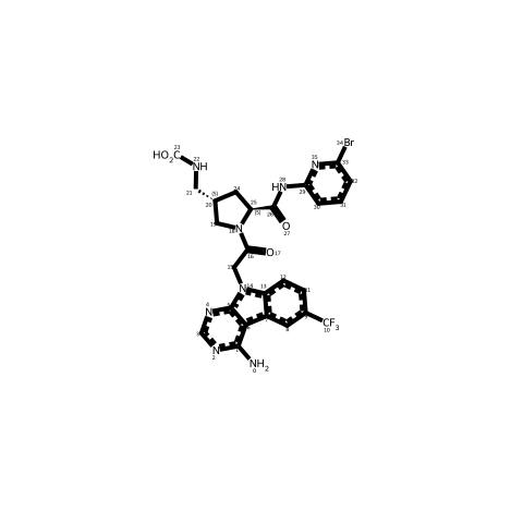 Nc1ncnc2c1c1cc(C(F)(F)F)ccc1n2CC(=O)N1C[C@H](CNC(=O)O)C[C@H]1C(=O)Nc1cccc(Br)n1